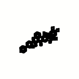 NC1(n2c(=O)[nH]c3cc(Cl)c(Cl)cc32)CCN(C(=O)N(c2ccccc2)[C@@H](CBr)C(=O)N2CCN(c3ccncc3)CC2)CC1Br